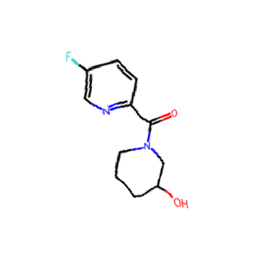 O=C(c1ccc(F)cn1)N1CCCC(O)C1